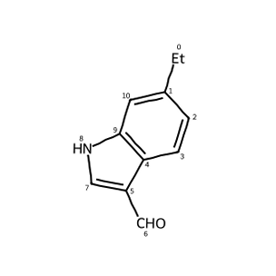 CCc1ccc2c(C=O)c[nH]c2c1